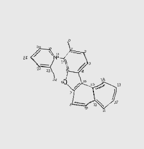 Cc1ccc2c(oc3ccc4ccccc4c32)c1-[n+]1ccccc1C